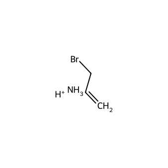 C=CCBr.N.[H+]